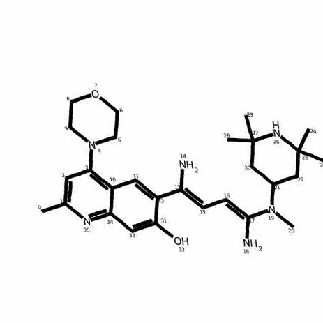 Cc1cc(N2CCOCC2)c2cc(/C(N)=C/C=C(\N)N(C)C3CC(C)(C)NC(C)(C)C3)c(O)cc2n1